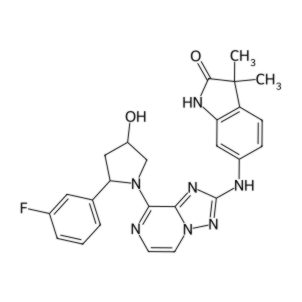 CC1(C)C(=O)Nc2cc(Nc3nc4c(N5CC(O)CC5c5cccc(F)c5)nccn4n3)ccc21